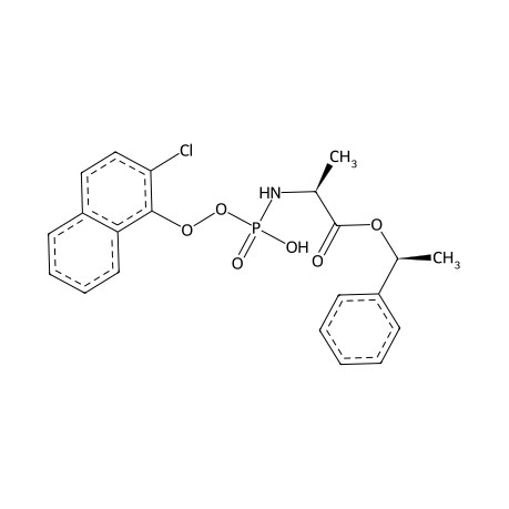 C[C@H](NP(=O)(O)OOc1c(Cl)ccc2ccccc12)C(=O)O[C@@H](C)c1ccccc1